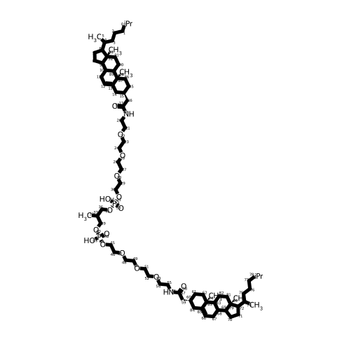 CC(C)CCCC(C)C1CCC2C3CC=C4C[C@H](CC(=O)NCCOCCOCCOCCOP(=O)(O)OCC(C)COP(=O)(O)OCCOCCOCCOCCNC(=O)C[C@@H]5CC[C@]6(C)C(=CCC7C8CCC(C(C)CCCC(C)C)[C@]8(C)CCC76)C5)CC[C@@]4(C)C3CC[C@@]12C